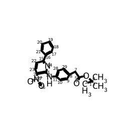 CC(C)(C)OC(=O)Cc1ccc(Nc2nc(-c3ccccc3)ccc2[N+](=O)[O-])cc1